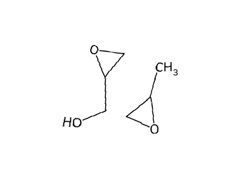 CC1CO1.OCC1CO1